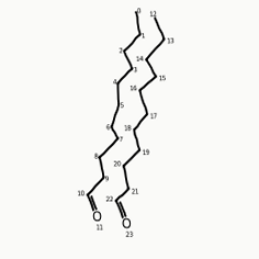 CCCCCCCCCCC=O.CCCCCCCCCCC=O